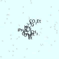 CCOC(=O)C(=O)CC(=O)SC(C)C(NC(=O)C(C)C)C(=O)N(CC)CC